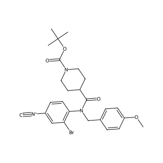 [C-]#[N+]c1ccc(N(Cc2ccc(OC)cc2)C(=O)C2CCN(C(=O)OC(C)(C)C)CC2)c(Br)c1